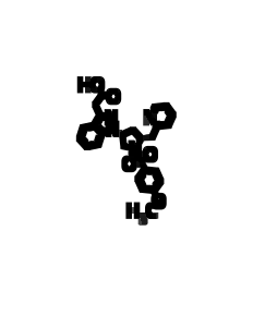 COc1ccc(S(=O)(=O)N2C[C@H](n3nc(CC(=O)O)c4ccccc43)C[C@H]2Cc2ccccn2)cc1